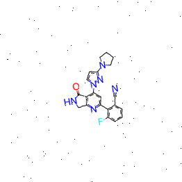 N#Cc1cccc(F)c1-c1cc(-n2ccc(N3CCCC3)n2)c2c(n1)CNC2=O